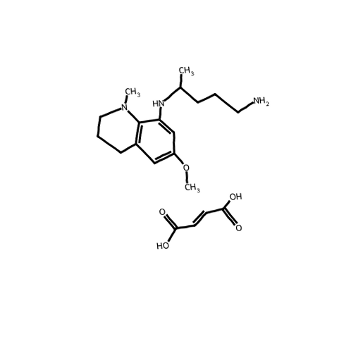 COc1cc2c(c(NC(C)CCCN)c1)N(C)CCC2.O=C(O)C=CC(=O)O